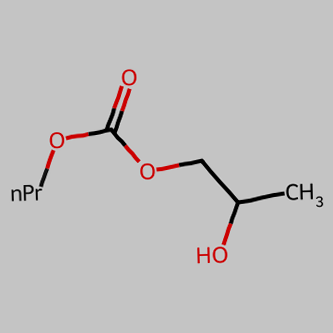 CCCOC(=O)OCC(C)O